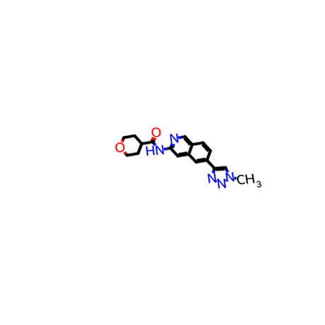 Cn1cc(-c2ccc3cnc(NC(=O)C4CCOCC4)cc3c2)nn1